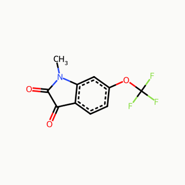 CN1C(=O)C(=O)c2ccc(OC(F)(F)F)cc21